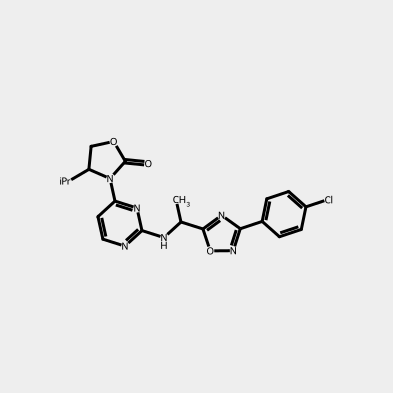 CC(Nc1nccc(N2C(=O)OCC2C(C)C)n1)c1nc(-c2ccc(Cl)cc2)no1